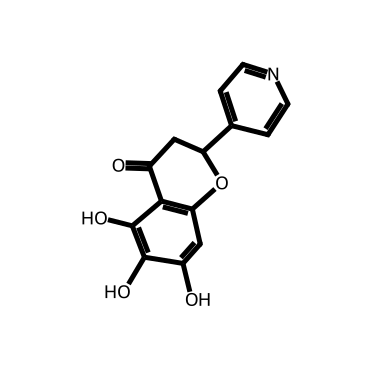 O=C1CC(c2ccncc2)Oc2cc(O)c(O)c(O)c21